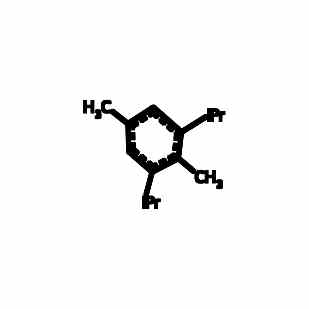 Cc1cc(C(C)C)c(C)c(C(C)C)c1